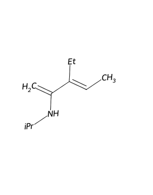 C=C(NC(C)C)/C(=C/C)CC